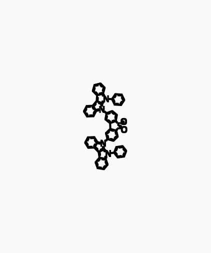 O=S1(=O)c2ccc(-n3c4ccccc4c4c5ccccc5n(-c5ccccc5)c43)cc2-c2cc(-n3c4ccccc4c4c5ccccc5n(-c5ccccc5)c43)ccc21